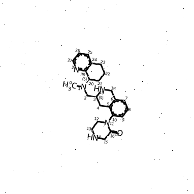 CN(C[C@@H]1Cc2c(cccc2N2CCNCC2=O)CN1)[C@H]1CCCc2cccnc21